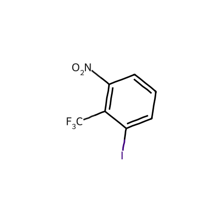 O=[N+]([O-])c1cccc(I)c1C(F)(F)F